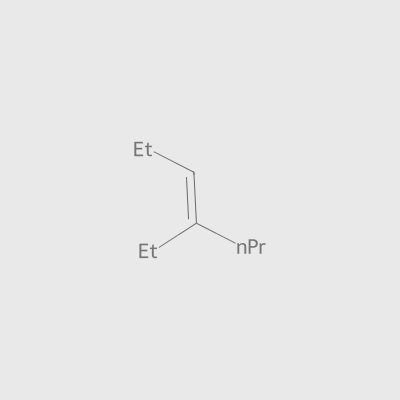 CC/C=C(\CC)CCC